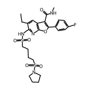 CCc1cc2c(C(=O)NC)c(-c3ccc(F)cc3)oc2nc1NS(=O)(=O)CCCCS(=O)(=O)N1CCCC1